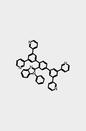 c1ccc(-n2c(-c3cc(-c4cc(-c5cccnc5)cc(-c5cccnc5)c4)ccc3-c3cc(-c4cccnc4)cc(-c4cccnc4)c3)nc3ccccc32)cc1